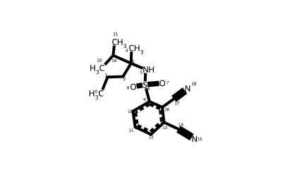 CCCC(C)(NS(=O)(=O)c1cccc(C#N)c1C#N)C(C)C